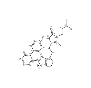 CCCCCc1c(C)n(CCC(C)C)c(=O)n1Cc1ccc(-c2ncccc2-c2nnn[nH]2)cc1